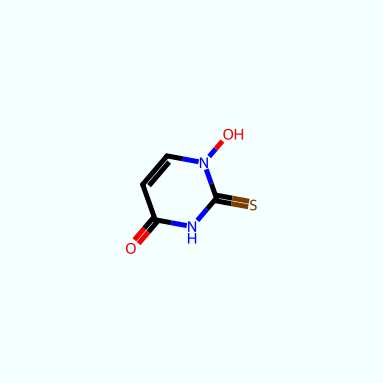 O=c1ccn(O)c(=S)[nH]1